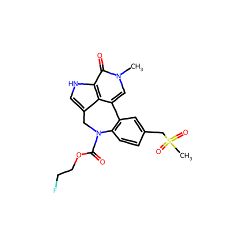 Cn1cc2c3c(c[nH]c3c1=O)CN(C(=O)OCCF)c1ccc(CS(C)(=O)=O)cc1-2